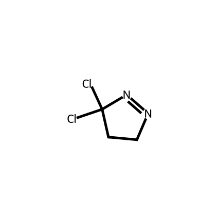 ClC1(Cl)CCN=N1